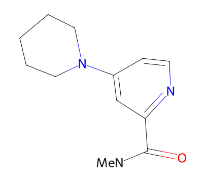 CNC(=O)c1cc(N2CCCCC2)ccn1